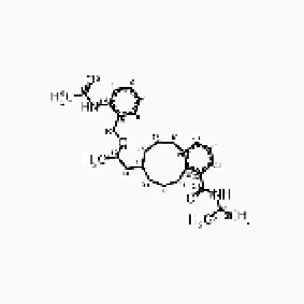 CC(=O)Nc1ccccc1COC(C)CC1CCCc2cccc(C(=O)NC(C)C)c2CCC1